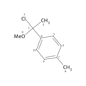 COC(C)(Cl)c1ccc(C)cc1